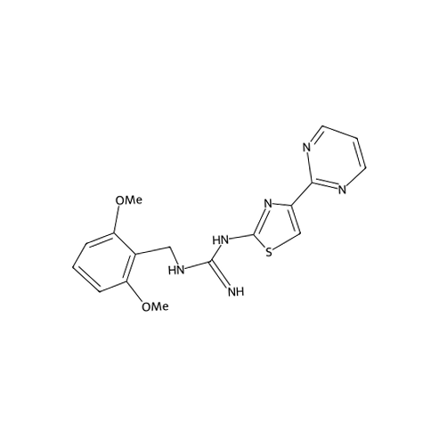 COc1cccc(OC)c1CNC(=N)Nc1nc(-c2ncccn2)cs1